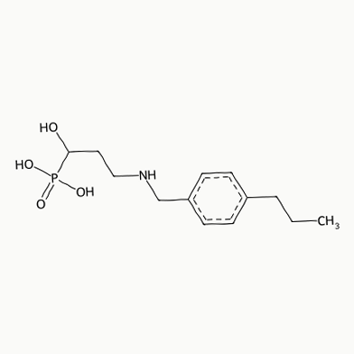 CCCc1ccc(CNCCC(O)P(=O)(O)O)cc1